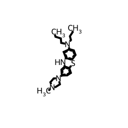 CCCCN(CCCC)c1ccc2c(c1)Nc1cc(N3CCN(C)CC3)ccc1S2